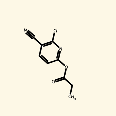 CCC(=O)Oc1ccc(C#N)c(Cl)n1